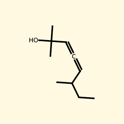 CCC(C)C=C=CC(C)(C)O